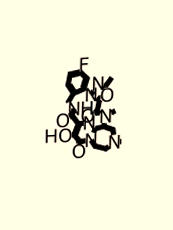 Cc1nnc(C(=O)N(C)C2CN(C)CCn3c2nc(C(=O)NCc2ccc(F)cc2)c(O)c3=O)o1